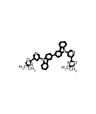 CC1(C)COC(c2cncc(-n3c4ccccc4c4cc(-c5ccc6c(c5)c5ccccc5n6-c5cncc(C6=NC(C)(C)CO6)c5)ccc43)c2)=N1